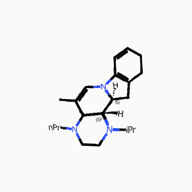 CCCN1CCN(C(C)C)[C@@H]2C1C(C)=CN1C3=C(CCC=C3)C[C@@H]21